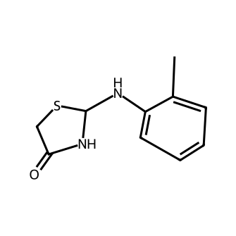 Cc1ccccc1NC1NC(=O)CS1